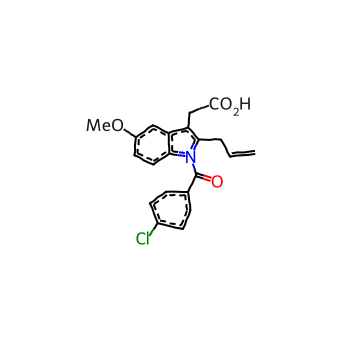 C=CCc1c(CC(=O)O)c2cc(OC)ccc2n1C(=O)c1ccc(Cl)cc1